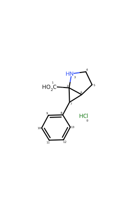 Cl.O=C(O)C12NCCC1C2c1ccccc1